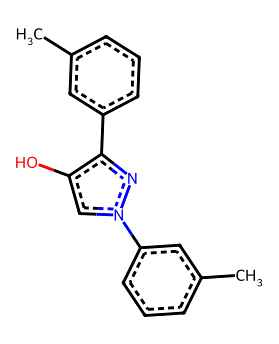 Cc1cccc(-c2nn(-c3cccc(C)c3)cc2O)c1